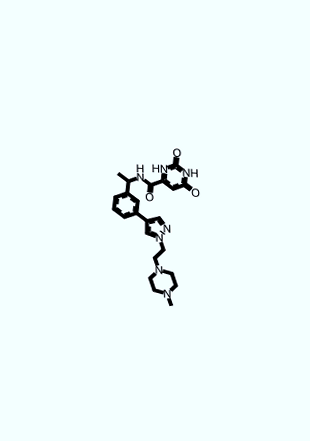 CC(NC(=O)c1cc(=O)[nH]c(=O)[nH]1)c1cccc(-c2cnn(CCN3CCN(C)CC3)c2)c1